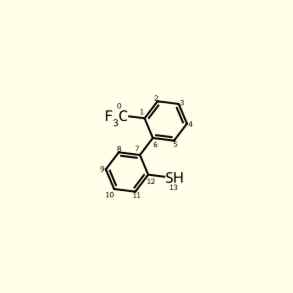 FC(F)(F)c1ccccc1-c1ccccc1S